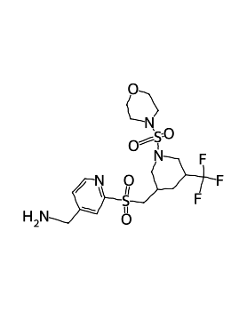 NCc1ccnc(S(=O)(=O)CC2CC(C(F)(F)F)CN(S(=O)(=O)N3CCOCC3)C2)c1